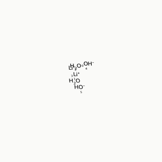 O.O.[Li+].[Li+].[OH-].[OH-]